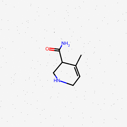 CC1=CCNCC1C(N)=O